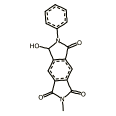 CN1C(=O)c2cc3c(cc2C1=O)C(O)N(c1ccccc1)C3=O